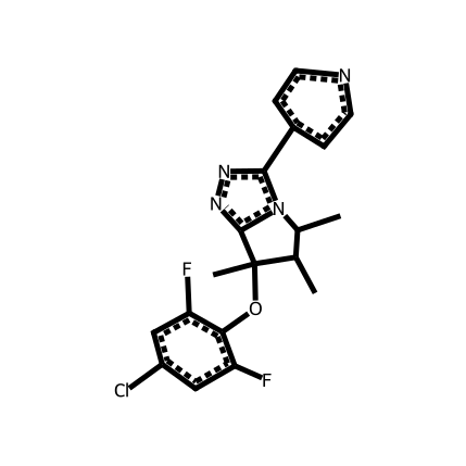 CC1C(C)C(C)(Oc2c(F)cc(Cl)cc2F)c2nnc(-c3ccncc3)n21